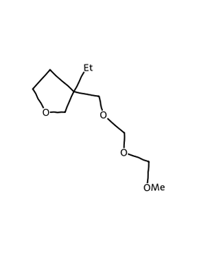 CCC1(COCOCOC)CCOC1